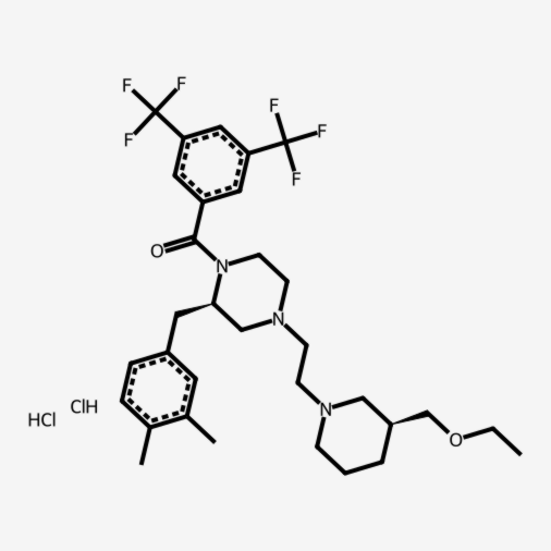 CCOC[C@H]1CCCN(CCN2CCN(C(=O)c3cc(C(F)(F)F)cc(C(F)(F)F)c3)[C@H](Cc3ccc(C)c(C)c3)C2)C1.Cl.Cl